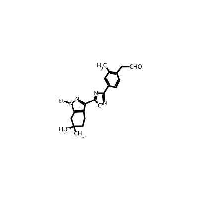 CCn1nc(-c2nc(-c3ccc(CC=O)c(C)c3)no2)c2c1CC(C)(C)CC2